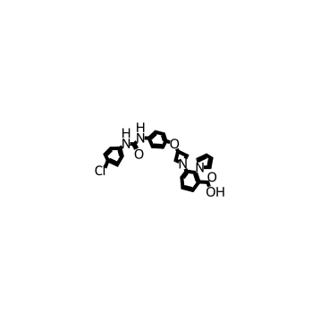 O=C(Nc1ccc(Cl)cc1)Nc1ccc(OC2CN(c3cccc(C(=O)O)c3-n3cccc3)C2)cc1